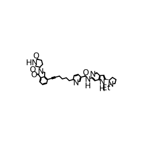 CCN1CCC[C@@H]1c1cc2cnc(NC(=O)c3ccc(CCCCC#Cc4cccc5c4CN(C4CCC(=O)NC4=O)C5=O)nc3)cc2[nH]1